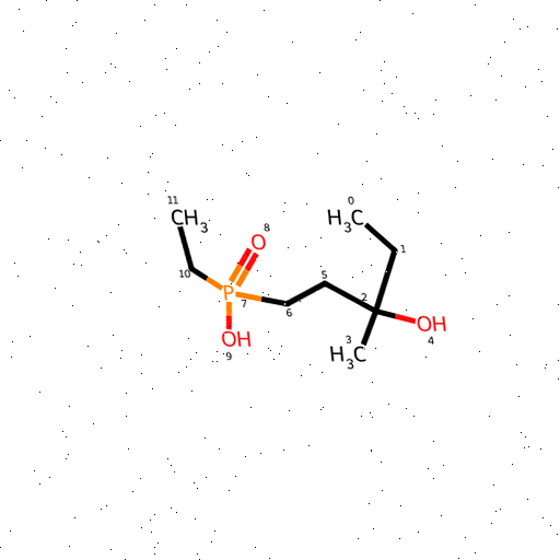 CCC(C)(O)CCP(=O)(O)CC